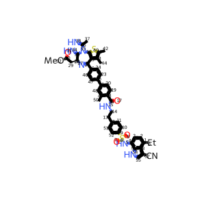 CCc1ccc(NS(=O)(=O)c2ccc(CCNC(=O)c3ccc(-c4ccc(C5=N[C@@H](CC(=O)OC)C(=N)N(C(C)=N)c6sc(C)c(C)c65)cc4)cc3C)cc2)c2[nH]cc(C#N)c12